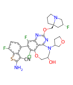 N#Cc1c(N)sc2c(F)ccc(-c3c(Cl)c4c5c(nc(OC[C@@]67CCCN6C[C@H](F)C7)nc5c3F)N(C3CCOC3)CC(O)CO4)c12